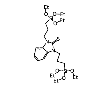 CCO[Si](CCCn1c(=S)n(CCC[Si](OCC)(OCC)OCC)c2ccccc21)(OCC)OCC